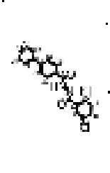 O=C(NNC(=O)c1cc(Cl)ccc1Cl)c1ccc(-c2ccncc2)cc1